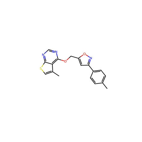 Cc1ccc(-c2cc(COc3ncnc4scc(C)c34)on2)cc1